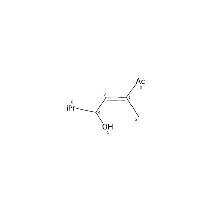 CC(=O)/C(C)=C/C(O)C(C)C